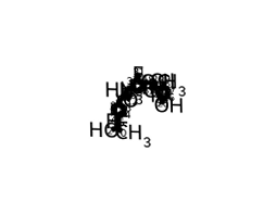 CC(O)C(F)(F)c1ccc(CC(=O)Nc2ccc(OC(C)(C)c3nc(O)ccc3Cl)c(F)c2)cc1